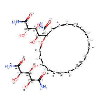 NC(=O)[C@@H](O)[C@@H](O)[C@H](O)[C@@]1(C(N)=O)CCCCCCCCCCCCCCCCCCO1.NC(=O)[C@@H](O)[C@H](O)[C@@H](O)C(N)=O